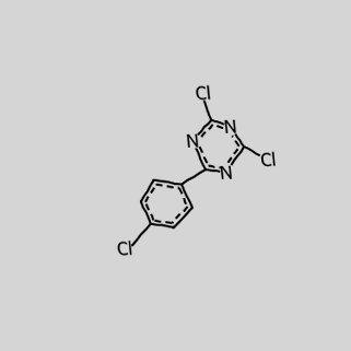 Clc1ccc(-c2nc(Cl)nc(Cl)n2)cc1